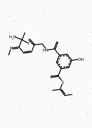 C=C(/C=C\C(=N/C)C(C)(N)F)CNC(=C)c1cc(O)cc(C(=C)S/C(C)=C\C)c1